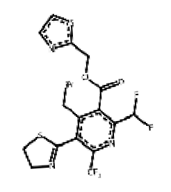 CC(C)Cc1c(C(=O)OCc2nccs2)c(C(F)F)nc(C(F)(F)F)c1C1=NCCS1